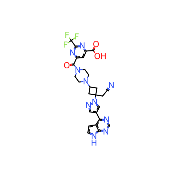 N#CCC1(n2cc(-c3ncnc4[nH]ccc34)cn2)CC(N2CCN(C(=O)c3cc(C(=O)O)nc(C(F)(F)F)n3)CC2)C1